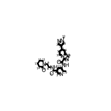 Cc1ncc(C(=O)NCCN2CCCCC2=O)cc1NC(=O)c1nnc2cc(-c3cnn(C)c3)ccn12